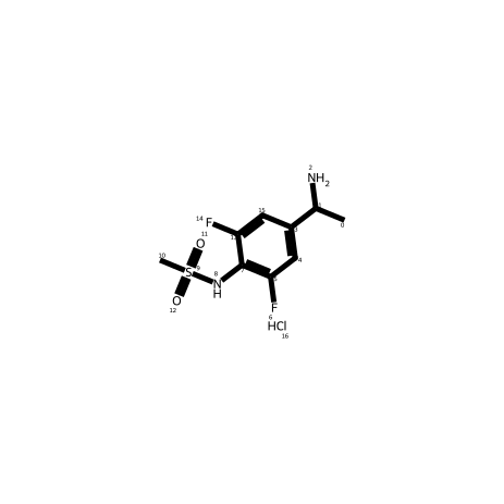 CC(N)c1cc(F)c(NS(C)(=O)=O)c(F)c1.Cl